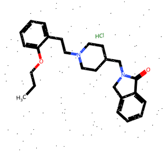 CCCOc1ccccc1CCN1CCC(CN2Cc3ccccc3C2=O)CC1.Cl